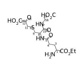 CCOC(=O)C(N)CCC(=O)NC(CSCC(=O)C(=O)O)C(=O)NCC(=O)O